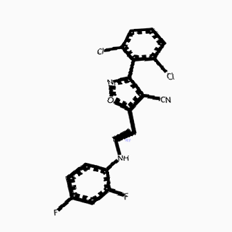 N#Cc1c(-c2c(Cl)cccc2Cl)noc1/C=C/Nc1ccc(F)cc1F